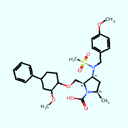 COc1ccc(CN([C@H]2C[C@@H](C)N(C(=O)O)[C@H]2COC2CCC(c3ccccc3)CC2OC)S(C)(=O)=O)cc1